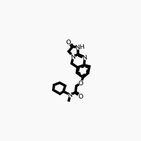 CN(C(=O)COc1ccc2c(c1)CN1CC(=O)NC1=N2)C1CCCCC1